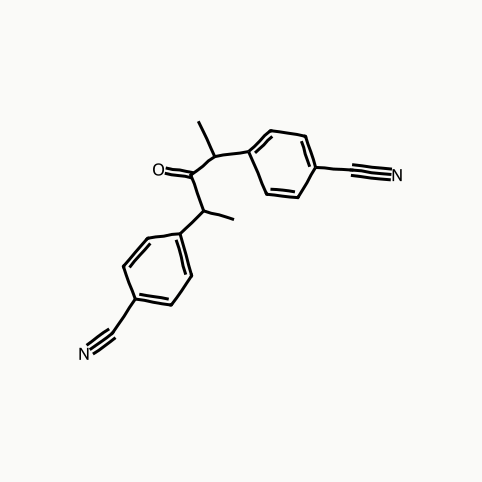 CC(C(=O)C(C)c1ccc(C#N)cc1)c1ccc(C#N)cc1